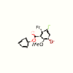 CCc1c(F)cc(Br)c(OC)c1C(=O)Oc1ccccc1